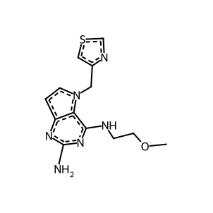 COCCNc1nc(N)nc2ccn(Cc3cscn3)c12